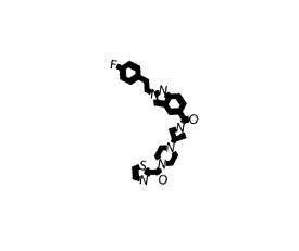 O=C(c1ccc2nn(CCc3ccc(F)cc3)cc2c1)N1CC(N2CCN(C(=O)c3nccs3)CC2)C1